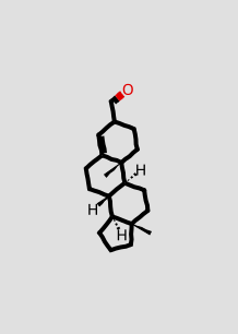 C[C@@]12CCC[C@H]1[C@@H]1CCC3=CC(C=O)CC[C@]3(C)[C@H]1CC2